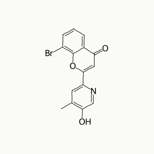 Cc1cc(-c2cc(=O)c3cccc(Br)c3o2)ncc1O